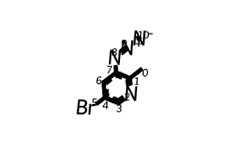 Cc1ncc(Br)cc1N=[N+]=[N-]